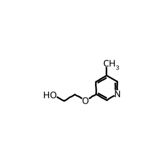 Cc1cncc(OCCO)c1